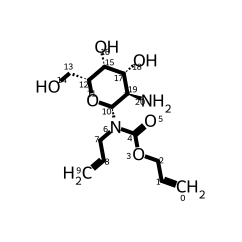 C=CCOC(=O)N(CC=C)[C@@H]1O[C@H](CO)[C@H](O)[C@H](O)[C@H]1N